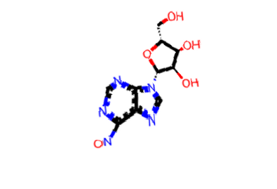 O=Nc1ncnc2c1ncn2[C@@H]1O[C@H](CO)[C@@H](O)[C@H]1O